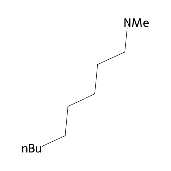 [CH2]NCCCCCCCCC